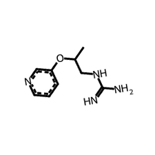 CC(CNC(=N)N)Oc1cccnc1